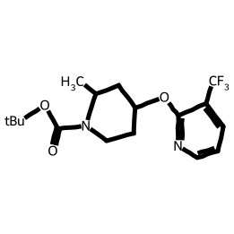 CC1CC(Oc2ncccc2C(F)(F)F)CCN1C(=O)OC(C)(C)C